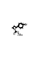 CC(C)(C)OC(=O)N1CCC1c1ccc(Br)cc1